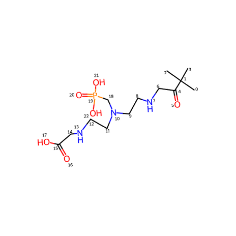 CC(C)(C)C(=O)CNCCN(CCNCC(=O)O)CP(=O)(O)O